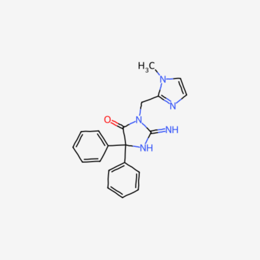 Cn1ccnc1CN1C(=N)NC(c2ccccc2)(c2ccccc2)C1=O